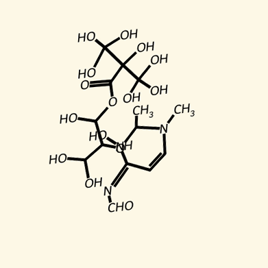 CC(OC(C(O)O)C(O)OC(=O)C(O)(C(O)(O)O)C(O)(O)O)N(C)/C=C\C(=N/C=O)NO